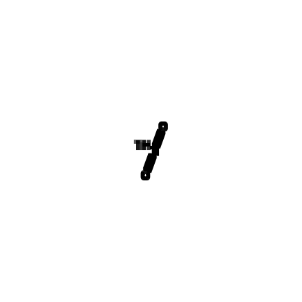 [O]=[Ti]=[O].[TiH]